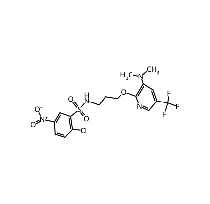 CN(C)c1cc(C(F)(F)F)cnc1OCCCNS(=O)(=O)c1cc([N+](=O)[O-])ccc1Cl